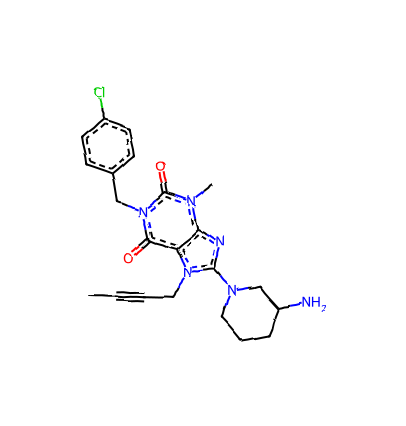 CC#CCn1c(N2CCCC(N)C2)nc2c1c(=O)n(Cc1ccc(Cl)cc1)c(=O)n2C